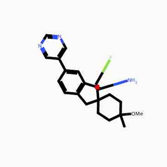 COC1(C)CCC2(CC1)Cc1ccc(-c3cncnc3)cc1C21C=C(F)C(N)=N1